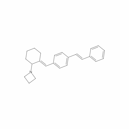 C(=Cc1ccc(C=C2CCCCC2N2CCC2)cc1)c1ccccc1